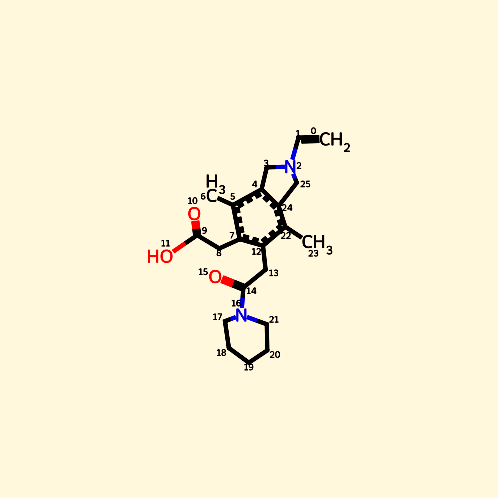 C=CN1Cc2c(C)c(CC(=O)O)c(CC(=O)N3CCCCC3)c(C)c2C1